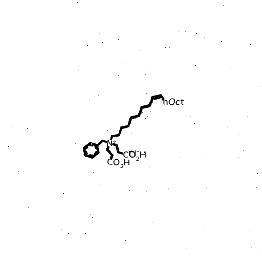 CCCCCCCC/C=C\CCCCCCCC[N+](CCC(=O)O)(CCC(=O)O)Cc1ccccc1.[Cl-]